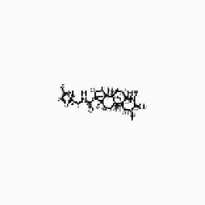 Cc1csc(CNC(=O)[C@H]2CC[C@H]3[C@@H]4CC[C@H]5N(C)C(=O)C(F)=C[C@]5(C)[C@H]4CC[C@]23C)n1